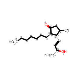 CCCCC[C@@H](O)C=C[C@H]1C(C#N)CC(=O)[C@@H]1CCCCCCC(=O)O